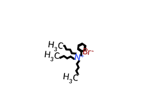 CCCCCC[N+](CCCCCC)(CCCCCC)Cc1ccccc1.[Br-]